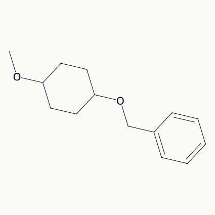 COC1CCC(OCc2ccccc2)CC1